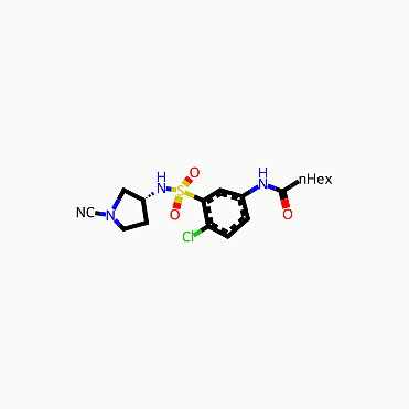 CCCCCCC(=O)Nc1ccc(Cl)c(S(=O)(=O)N[C@@H]2CCN(C#N)C2)c1